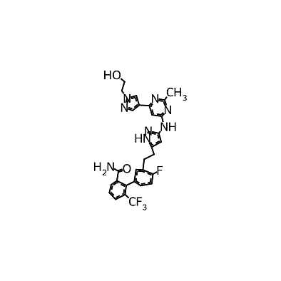 Cc1nc(Nc2cc(CCc3cc(-c4c(C(N)=O)cccc4C(F)(F)F)ccc3F)[nH]n2)cc(-c2cnn(CCO)c2)n1